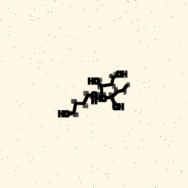 CC(O)CCO.CCCC(O)O.OCCCCO